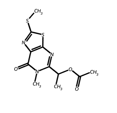 CSc1nc2c(=O)n(C)c(C(C)OC(C)=O)nc2s1